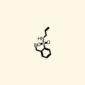 C=CCNS(=O)(=O)c1ccccc1CBr